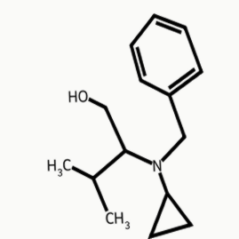 CC(C)C(CO)N(Cc1ccccc1)C1CC1